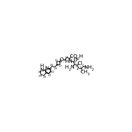 CC(CN)CC(Cl)[C@H](N)C(=O)N[C@@H](CCOC1CC(CCc2ccc3c(n2)NCCC3)C1)C(=O)O